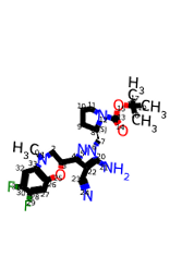 CN1CC(c2nn(C[C@@H]3CCCN3C(=O)OC(C)(C)C)c(N)c2C#N)Oc2cc(F)c(F)cc21